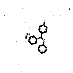 C=N.Fc1ccc(C(Oc2ccccc2)c2ccccc2)cc1